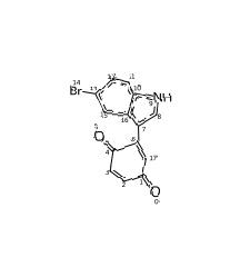 O=C1C=CC(=O)C(c2c[nH]c3ccc(Br)cc23)=C1